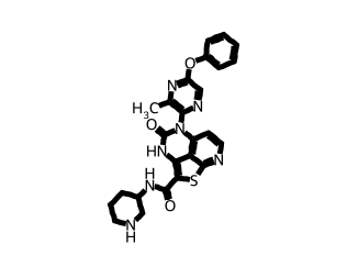 Cc1nc(Oc2ccccc2)cnc1N1C(=O)Nc2c(C(=O)NC3CCCNC3)sc3nccc1c23